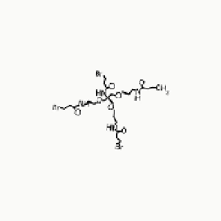 CCCC(=O)NCCCOCC(COCCCNC(=O)CCBr)(COCCCNC(=O)CCBr)NC(=O)CCBr